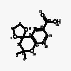 CC1(C)CC2(OCCO2)c2cc(C(=O)O)cnc2O1